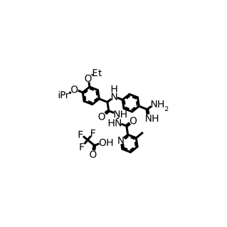 CCOc1cc(C(Nc2ccc(C(=N)N)cc2)C(=O)NNC(=O)c2ncccc2C)ccc1OC(C)C.O=C(O)C(F)(F)F